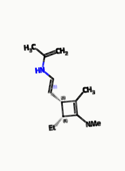 C=C(C)N/C=C/[C@@H]1C(C)=C(NC)[C@@H]1CC